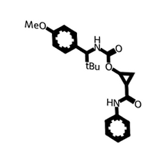 COc1ccc(C(NC(=O)OC2CC2C(=O)Nc2ccccc2)C(C)(C)C)cc1